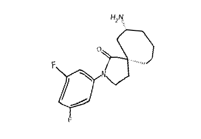 N[C@@H]1CCC[C@@]2(CCN(c3cc(F)cc(F)c3)C2=O)C1